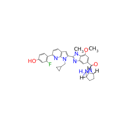 COc1cc(C(=O)N2C[C@H]3CC[C@@H]2[C@@H]3N)cc2nc(-c3cc4ccc(-c5ccc(O)cc5F)nc4n3CC3CC3)n(C)c12